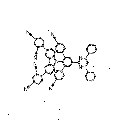 N#Cc1ccc(-c2cc(-c3nc(-c4ccccc4)cc(-c4ccccc4)n3)cc(-c3ccc(C#N)cc3)c2-n2c3ccc(-c4ccc(C#N)cc4C#N)cc3c3cc(-c4ccc(C#N)cc4C#N)ccc32)cc1